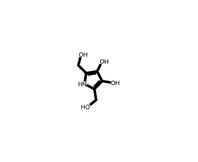 OCc1[nH]c(CO)c(O)c1O